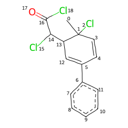 CC1(Cl)C=CC(c2ccccc2)=CC1C(Cl)C(=O)Cl